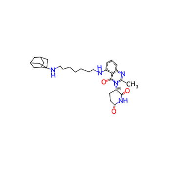 Cc1nc2cccc(NCCCCCCCNC34CC5CC(CC3C5)C4)c2c(=O)n1[C@@H]1CCC(=O)NC1=O